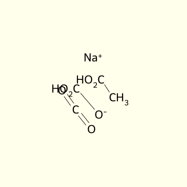 CC(=O)O.O=C([O-])O.O=C=O.[Na+]